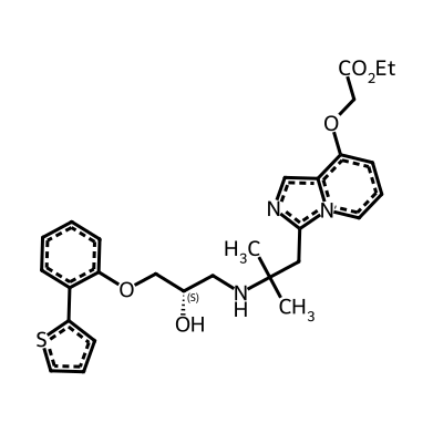 CCOC(=O)COc1cccn2c(CC(C)(C)NC[C@H](O)COc3ccccc3-c3cccs3)ncc12